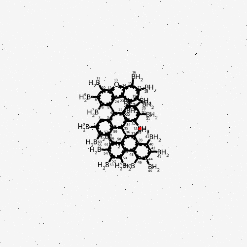 Bc1cc2c(-c3c(B)c(B)c(B)c4oc5c(B)c(B)c(B)c(B)c5c34)c3c(B)c(B)c(B)c(B)c3c(-c3c(B)c4c(B)c(B)c(B)c(B)c4c4c(B)c(B)c(B)c(B)c34)c2c(B)c1B